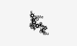 CNC(=O)c1c(-c2ccc(F)cc2)oc2cc(N(CCF)S(C)(=O)=O)c(-c3cccc(C(=O)NCC4CCCC4CC(=O)OC(C)(C)C)c3)cc12